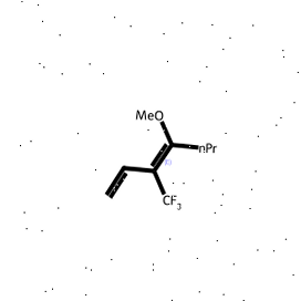 C=C/C(=C(/CCC)OC)C(F)(F)F